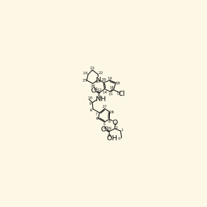 CCC(Oc1ccc(CC(C)NC(=O)c2cc(Cl)ccc2N2CCCCC2)cc1)C(=O)O